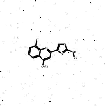 COc1cc(-c2csc(NC(C)C)n2)nc2c(Cl)cccc12